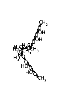 C=CCOCC(O)COCC(O)COCCOC(C)(F)COC(C)(C)C(C)(F)CCOC(C)(C)CCOCC(O)COCC(O)COCC=C